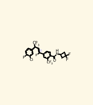 O=C(NC1CC(F)(F)C1)c1ccc(/C(F)=C/C(c2ccc(F)c(Cl)c2)C(F)(F)F)cc1C(F)(F)F